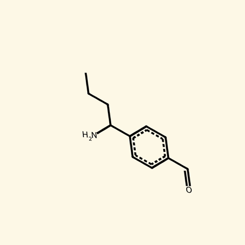 CCCC(N)c1ccc(C=O)cc1